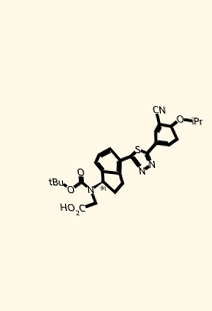 CC(C)OC1CC=C(c2nnc(-c3cccc4c3CC[C@H]4N(CC(=O)O)C(=O)OC(C)(C)C)s2)C=C1C#N